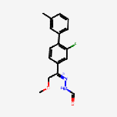 COC/C(=N\NC=O)c1ccc(-c2cccc(C)c2)c(F)c1